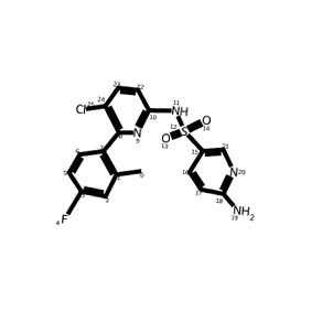 Cc1cc(F)ccc1-c1nc(NS(=O)(=O)c2ccc(N)nc2)ccc1Cl